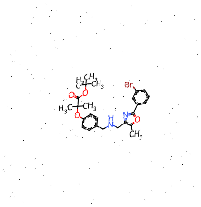 Cc1oc(-c2cccc(Br)c2)nc1CNCc1ccc(OC(C)(C)C(=O)OC(C)(C)C)cc1